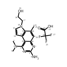 CN(C)c1nc(N)nc2cc(I)c3c(ccn3CCO)c12.O=C(O)C(F)(F)F